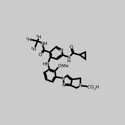 [2H]C([2H])([2H])NC(=O)c1cnc(NC(=O)C2CC2)cc1Nc1cccc(-n2cc3c(n2)CN(C(=O)O)C3)c1OC